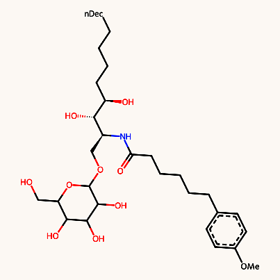 CCCCCCCCCCCCCC[C@@H](O)[C@@H](O)[C@H](COC1OC(CO)C(O)C(O)C1O)NC(=O)CCCCCc1ccc(OC)cc1